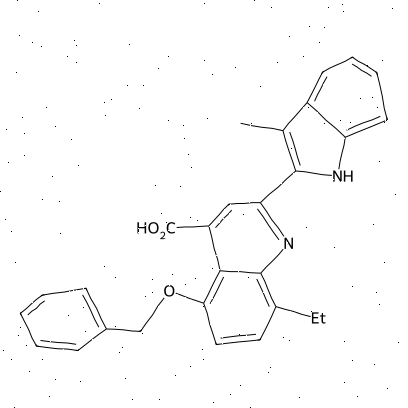 CCc1ccc(OCc2ccccc2)c2c(C(=O)O)cc(-c3[nH]c4ccccc4c3C)nc12